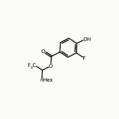 CCCCCCC(OC(=O)c1ccc(O)c(F)c1)C(F)(F)F